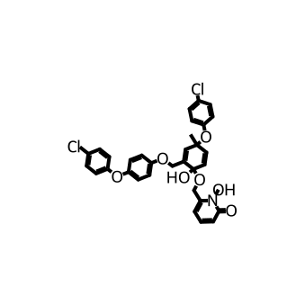 CC1(Oc2ccc(Cl)cc2)C=CC(O)(OCc2cccc(=O)n2O)C(COc2ccc(Oc3ccc(Cl)cc3)cc2)=C1